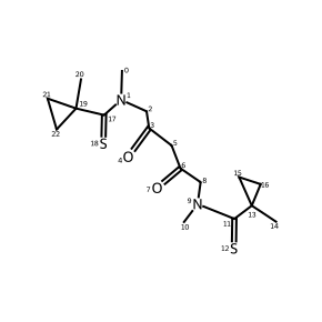 CN(CC(=O)CC(=O)CN(C)C(=S)C1(C)CC1)C(=S)C1(C)CC1